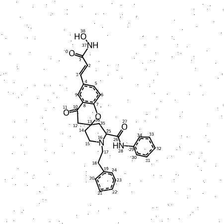 O=C(C=Cc1ccc2c(c1)C(=O)CC1(CCN(CCc3ccccc3)C(C(=O)Nc3ccccc3)C1)O2)NO